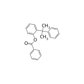 CC(C)(c1ccccc1)c1ccccc1OC(=O)c1ccccc1